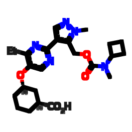 CCc1nc(-c2cnn(C)c2COC(=O)N(C)C2CCC2)ncc1O[C@H]1CCC[C@H](C(=O)O)C1